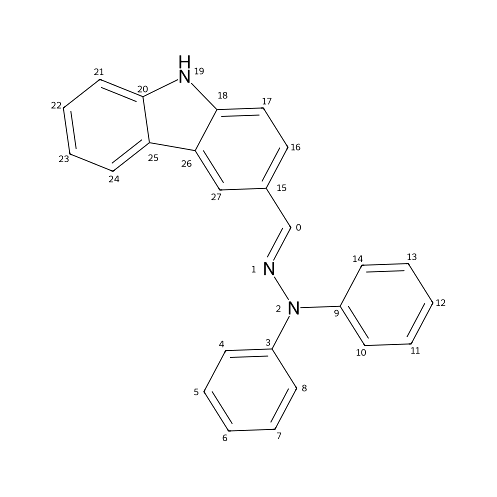 C(=NN(c1ccccc1)c1ccccc1)c1ccc2[nH]c3ccccc3c2c1